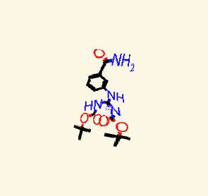 CC(C)(C)OC(=O)/N=C(\NC(=O)OC(C)(C)C)Nc1cccc(C(N)=O)c1